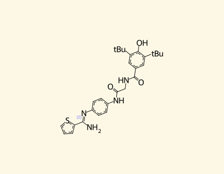 CC(C)(C)c1cc(C(=O)NCC(=O)Nc2ccc(/N=C(\N)c3cccs3)cc2)cc(C(C)(C)C)c1O